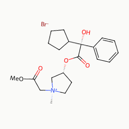 COC(=O)C[N@+]1(C)CC[C@@H](OC(=O)[C@](O)(c2ccccc2)C2CCCC2)C1.[Br-]